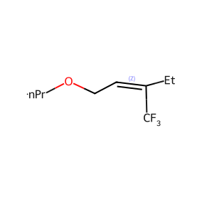 CC[CH]OC/C=C(/CC)C(F)(F)F